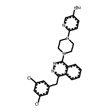 CC(C)(C)c1ccc(N2CCN(c3nnc(Cc4cc(Cl)cc(Cl)c4)c4ccccc34)CC2)nc1